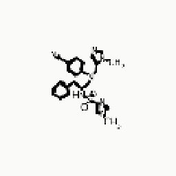 Cn1cnc(S(=O)(=O)NC(Cc2ccccc2)CN(Cc2cncn2C)c2ccc(C#N)cc2)c1